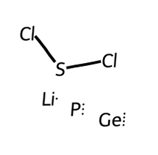 ClSCl.[Ge].[Li].[P]